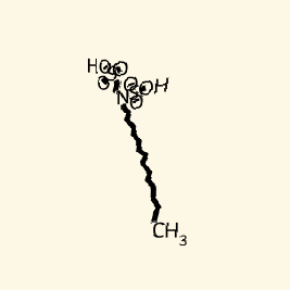 CCCCCCCCCCCCCCCCN(CCS(=O)(=O)O)S(=O)(=O)O